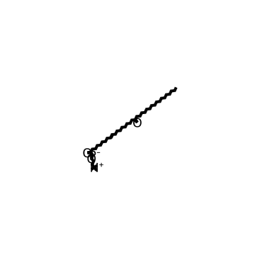 CCCCCCCCCCCCCCCCCC(=O)CCCCCCCCC=CCCCCCCCC(=O)[P-]OCC[N+](C)(C)C